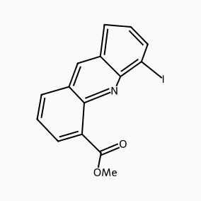 COC(=O)c1cccc2cc3cccc(I)c3nc12